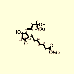 CCCCC(C)(O)CC=C[C@H]1C(O)CC(=O)[C@@H]1CCCCCCC(=O)OC